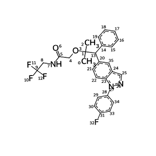 CC(C)(OCC(=O)NCC(F)(F)F)C(c1ccccc1)c1ccc2c(cnn2-c2ccc(F)cc2)c1